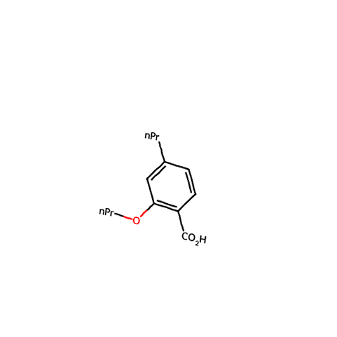 CCCOc1cc(CCC)ccc1C(=O)O